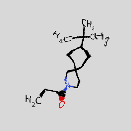 C=CC(=O)N1CCC2(CC(C(C)(C)C)C2)C1